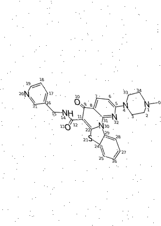 CN1CCN(c2ccc3c(=O)c(C(=O)NCc4cccnc4)c4sc5ccccc5n4c3n2)CC1